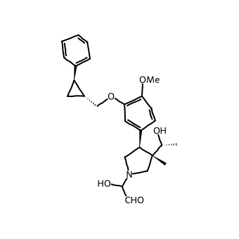 COc1ccc([C@@H]2CN(C(O)C=O)C[C@@]2(C)[C@@H](C)O)cc1OC[C@@H]1C[C@H]1c1ccccc1